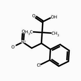 CC(C)(C(=O)O)C(C[N+](=O)[O-])c1ccccc1Cl